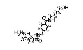 NNC(=O)c1ccc(C(=O)NCc2ccc(C(=O)NCCOCCO)cc2)s1